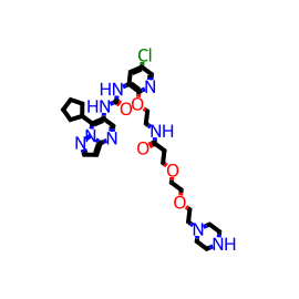 O=C(CCOCCOCCN1CCNCC1)NCCOc1ncc(Cl)cc1NC(=O)Nc1cnc2ccnn2c1C1CCCC1